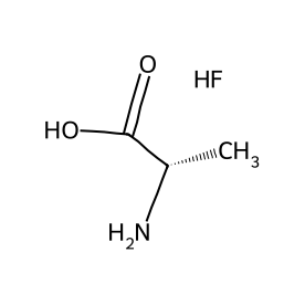 C[C@H](N)C(=O)O.F